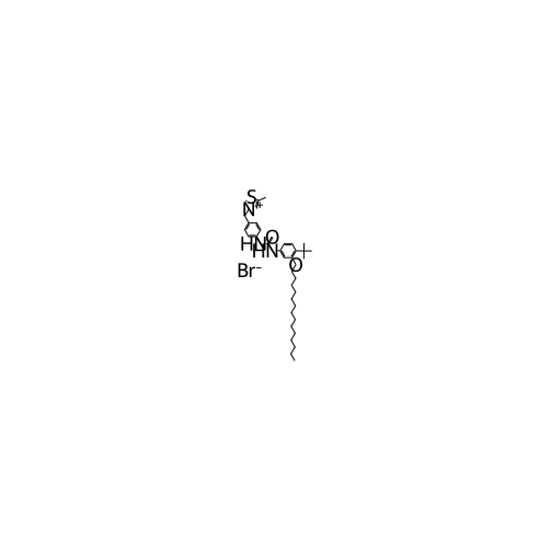 CCCCCCCCCCCCCCOc1cc(NC(=O)Nc2ccc(C[n+]3csc(C)c3)cc2)ccc1C(C)(C)C.[Br-]